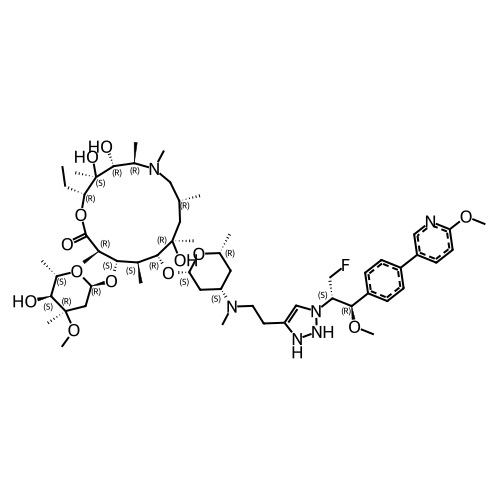 CC[C@H]1OC(=O)[C@H](C)[C@@H](O[C@H]2C[C@@](C)(OC)[C@@H](O)[C@H](C)O2)[C@H](C)[C@@H](O[C@H]2C[C@@H](N(C)CCC3=CN([C@H](CF)[C@H](OC)c4ccc(-c5ccc(OC)nc5)cc4)NN3)C[C@@H](C)O2)[C@](C)(O)C[C@@H](C)CN(C)[C@H](C)[C@@H](O)[C@]1(C)O